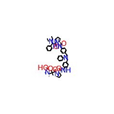 CCN(CC)[C@@H](C(=O)N1CCC[C@H]1C(=O)Nc1ccc(CN(Cc2ccc(NC(=O)[C@@H]3CCCN3C(=O)C(C)(C)[C@H](C)N(C)C(=O)O)cc2)c2ccccc2)cc1)c1ccccc1